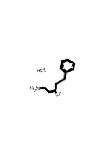 Cl.NC/C=C(/Cl)CCc1ccccc1